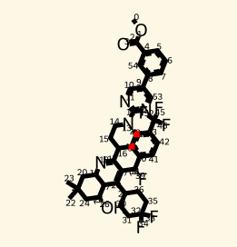 COC(=O)c1cccc(-c2cnc(N3CCC(C4=NC5CC(C)(C)C[C@H](O)C5C(C5CCC(F)(F)CC5)=C4[C@@H](F)c4ccc(C(F)(F)F)cc4)CC3)nc2)c1